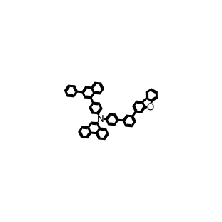 c1ccc(-c2cc(-c3ccc(N(c4ccc(-c5cccc(-c6ccc7c(c6)oc6ccccc67)c5)cc4)c4cc5ccccc5c5ccccc45)cc3)c3ccccc3c2)cc1